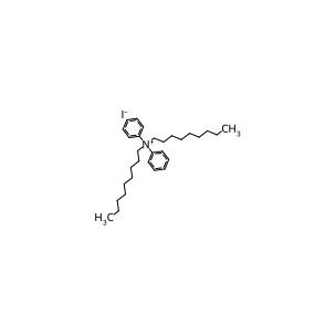 CCCCCCCCC[N+](CCCCCCCCC)(c1ccccc1)c1ccccc1.[I-]